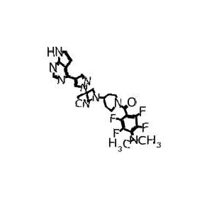 CN(C)c1c(F)c(F)c(C(=O)N2CCC(N3CC(CC#N)(n4cc(-c5ncnc6[nH]ccc56)cn4)C3)CC2)c(F)c1F